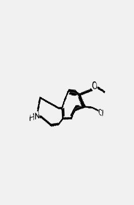 COc1cc2c(cc1Cl)CNC2